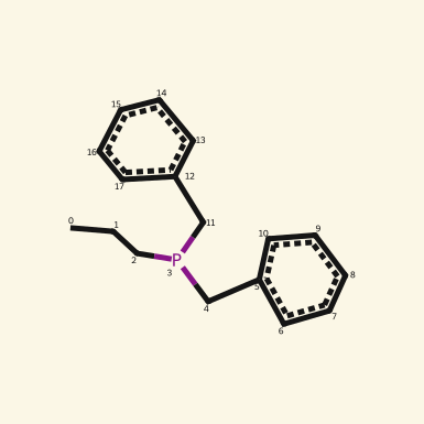 CCCP(Cc1ccccc1)Cc1ccccc1